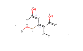 C=C(O)/C(CC)=C(\C=C(/C)O)SOC